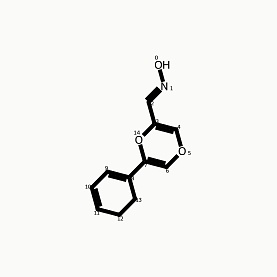 ON=CC1=COC=C(C2=CC=CCC2)O1